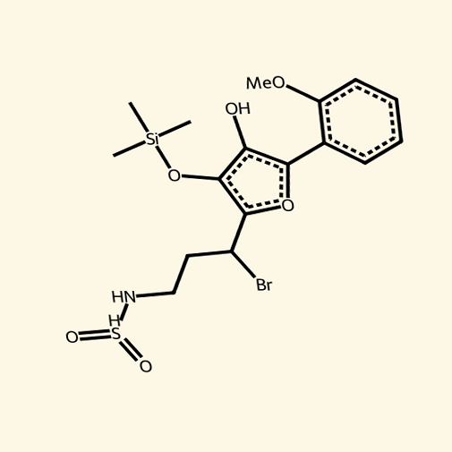 COc1ccccc1-c1oc(C(Br)CCN[SH](=O)=O)c(O[Si](C)(C)C)c1O